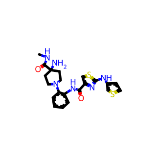 CNC(=O)C1(N)CCN(c2ccccc2NC(=O)c2csc(Nc3ccsc3)n2)CC1